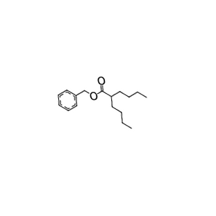 CCCCC(CCCC)C(=O)OCc1ccccc1